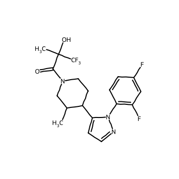 CC1CN(C(=O)C(C)(O)C(F)(F)F)CCC1c1ccnn1-c1ccc(F)cc1F